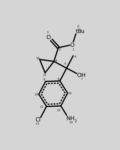 CC(C)(C)OC(=O)C1(C(C)(O)c2ccc(Cl)c(N)c2)CC1